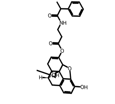 CC(C(=O)NCCC(=O)OC1=CC[C@@]2(O)[C@H]3Cc4ccc(O)c5c4C2(CCN3C)C1O5)c1ccccc1